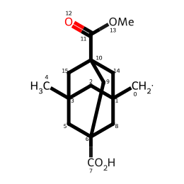 [CH2]C12CC3(C)CC(C(=O)O)(C1)CC(C(=O)OC)(C2)C3